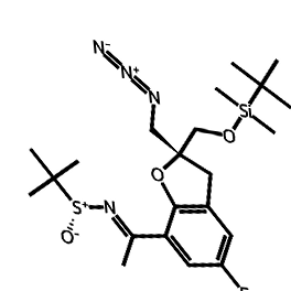 CC(=N[S@+]([O-])C(C)(C)C)c1cc(F)cc2c1O[C@](CN=[N+]=[N-])(CO[Si](C)(C)C(C)(C)C)C2